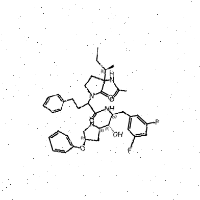 CC[C@@H](C)C1(NC(C)=O)CCN(C(CCc2ccccc2)C(=O)N[C@@H](Cc2cc(F)cc(F)c2)[C@H](O)[C@H]2C[C@@H](Oc3ccccc3)CN2)C1=O